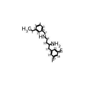 CCc1cccc(CNC[CH]C(N)Cc2cc(F)cc(F)c2)c1